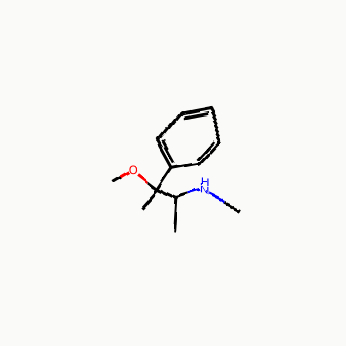 CNC(C)C(C)(OC)c1ccccc1